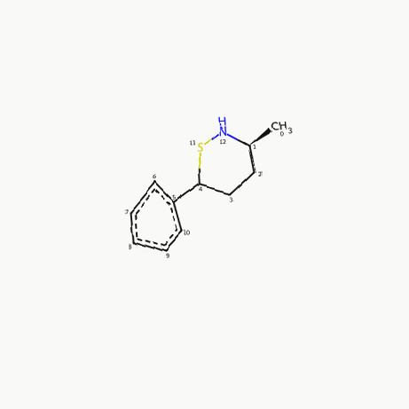 C[C@H]1CCC(c2ccccc2)SN1